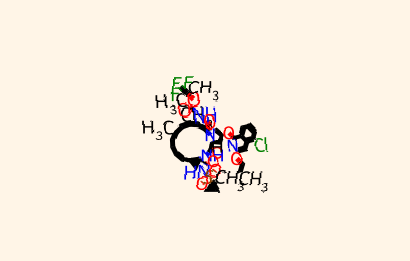 CCCOc1cc2c(Cl)cccc2c(O[C@@H]2C[C@H]3C(=O)N[C@]4(C(=O)NS(=O)(=O)C5(C)CC5)CC4/C=C\CC[C@@H](C)C[C@@H](C)[C@H](NC(=O)OC(C)(C)C(F)(F)F)C(=O)N3C2)n1